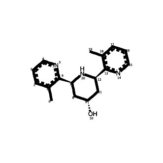 Cc1cccnc1[C@@H]1C[C@@H](O)C[C@H](c2ncccc2C)N1